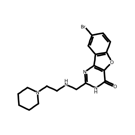 O=c1[nH]c(CNCCN2CCCCC2)nc2c1oc1ccc(Br)cc12